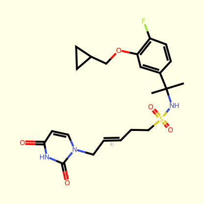 CC(C)(NS(=O)(=O)CC/C=C/Cn1ccc(=O)[nH]c1=O)c1ccc(F)c(OCC2CC2)c1